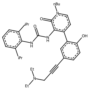 CCCCn1ccc(-c2cc(C#CCN(CC)CC)ccc2O)c(NC(=O)Nc2c(C(C)C)cccc2C(C)C)c1=O